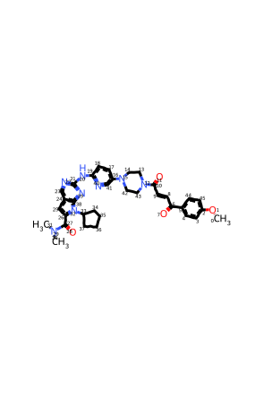 COc1ccc(C(=O)/C=C/C(=O)N2CCN(c3ccc(Nc4ncc5cc(C(=O)N(C)C)n(C6CCCC6)c5n4)nc3)CC2)cc1